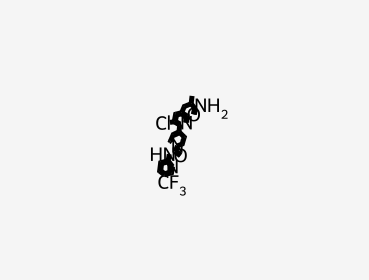 CC(Cc1cnc(C2=CCN(C(=O)Nc3ccc(C(F)(F)F)cn3)CC2)c(Cl)c1)C(N)=O